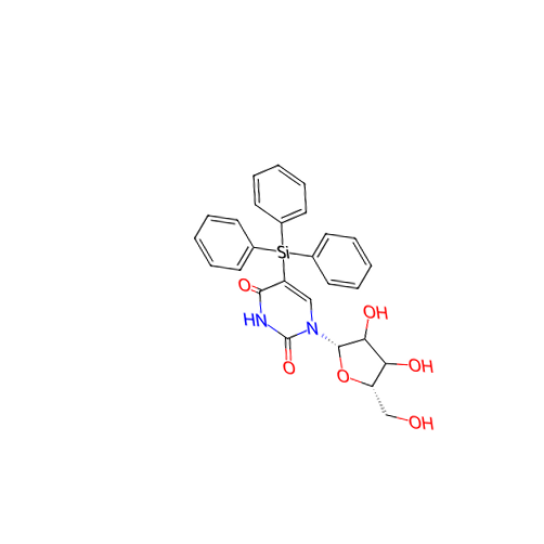 O=c1[nH]c(=O)n([C@H]2O[C@@H](CO)C(O)C2O)cc1[Si](c1ccccc1)(c1ccccc1)c1ccccc1